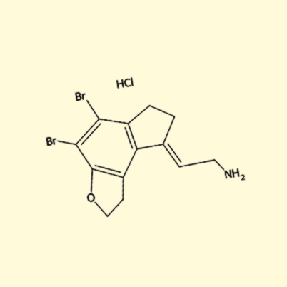 Cl.NC/C=C1\CCc2c(Br)c(Br)c3c(c21)CCO3